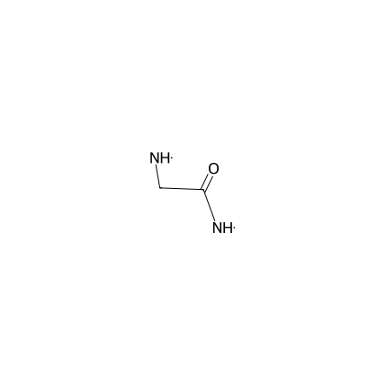 [NH]CC([NH])=O